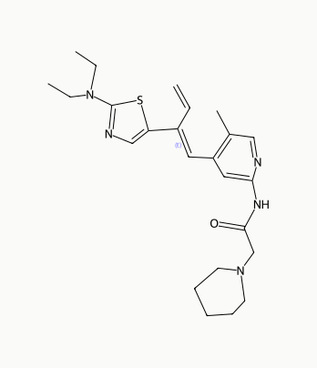 C=C/C(=C\c1cc(NC(=O)CN2CCCCC2)ncc1C)c1cnc(N(CC)CC)s1